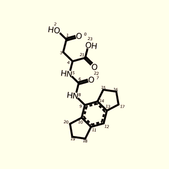 O=C(O)CC(NC(=O)Nc1c2c(cc3c1CCC3)CCC2)C(=O)O